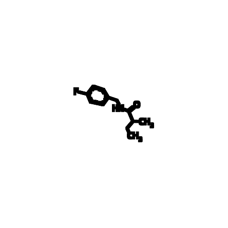 CCC(C)C(=O)NCc1ccc(F)cc1